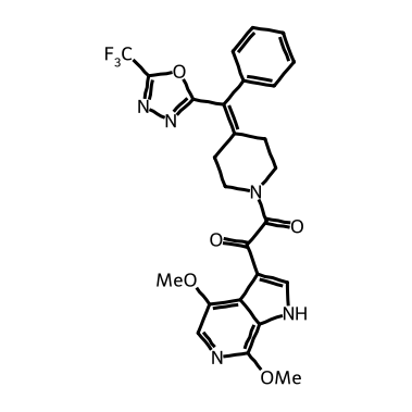 COc1ncc(OC)c2c(C(=O)C(=O)N3CCC(=C(c4ccccc4)c4nnc(C(F)(F)F)o4)CC3)c[nH]c12